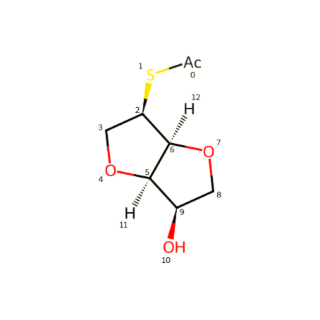 CC(=O)S[C@@H]1CO[C@H]2[C@@H]1OC[C@H]2O